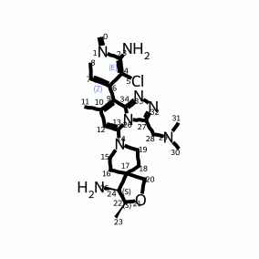 C=N/C(N)=C(Cl)\C(=C/C)c1c(C)cc(N2CCC3(CC2)CO[C@@H](C)[C@H]3N)n2c(CN(C)C)nnc12